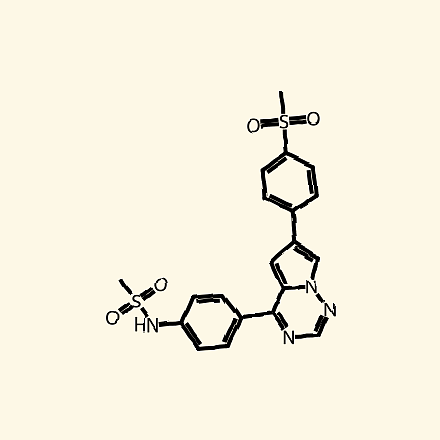 CS(=O)(=O)Nc1ccc(-c2ncnn3cc(-c4ccc(S(C)(=O)=O)cc4)cc23)cc1